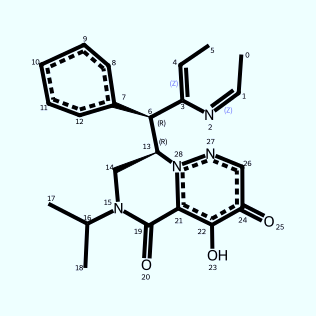 C/C=N\C(=C/C)[C@H](c1ccccc1)[C@@H]1CN(C(C)C)C(=O)c2c(O)c(=O)cnn21